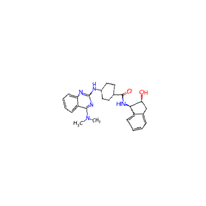 CN(C)c1nc(NC2CCC(C(=O)N[C@@H]3c4ccccc4C[C@@H]3O)CC2)nc2ccccc12